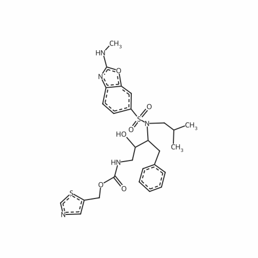 CNc1nc2ccc(S(=O)(=O)N(CC(C)C)C(Cc3ccccc3)C(O)CNC(=O)OCc3cncs3)cc2o1